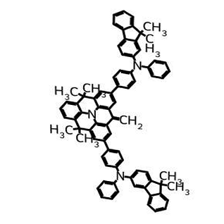 C=C1c2cc(-c3ccc(N(c4ccccc4)c4ccc5c(c4)-c4ccccc4C5(C)C)cc3)cc3c2N2c4c1cc(-c1ccc(N(c5ccccc5)c5ccc6c(c5)C(C)(C)c5ccccc5-6)cc1)cc4C(C)(C)c1cccc(c12)C3(C)C